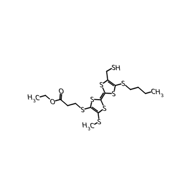 CCCCSC1=C(CS)S/C(=C2/SC(SC)=C(SCCC(=O)OCC)S2)S1